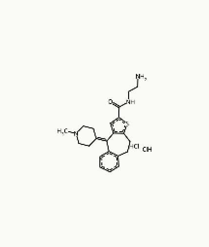 CN1CCC(=C2c3ccccc3CCc3sc(C(=O)NCCN)cc32)CC1.Cl.Cl